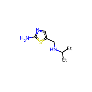 CCC(CC)NCc1cnc(N)s1